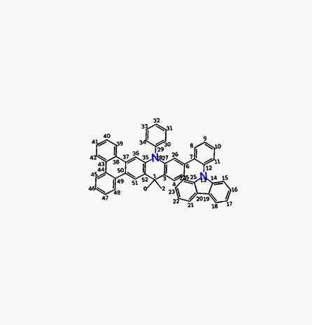 CC1(C)c2ccc(-c3ccccc3-n3c4ccccc4c4ccccc43)cc2N(c2ccccc2)c2cc3c4ccccc4c4ccccc4c3cc21